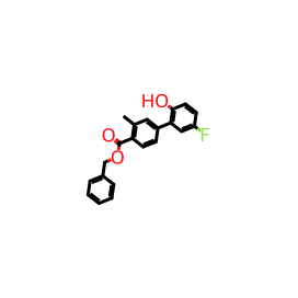 Cc1cc(-c2cc(F)ccc2O)ccc1C(=O)OCc1ccccc1